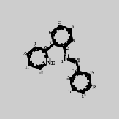 C(=Nc1ccccc1-c1ccccn1)c1ccccc1